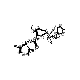 COc1ccc(S(=O)(=O)N[C@H]2CCOC2)cc1C(=O)Nc1cc(F)cc(F)c1Cl